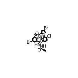 C#CC(=O)NNC(=O)c1cc(Br)cc(Br)c1NC(=O)c1cc(Br)cn1-c1ncccc1Cl